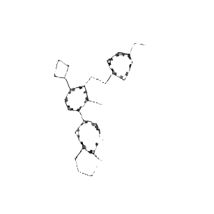 CCc1ccc(CCc2c(C3CCC3)ccc(-c3cnc4c(c3)CCCN4)c2F)cc1